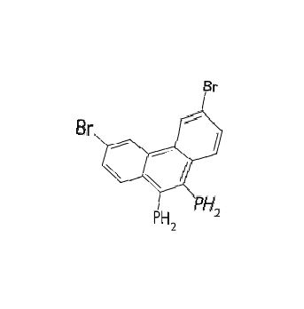 Pc1c(P)c2ccc(Br)cc2c2cc(Br)ccc12